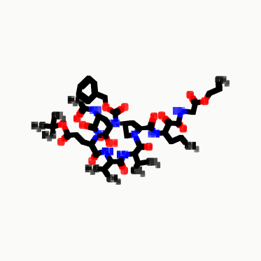 C=CCOC(=O)CNC(=O)C(=O)C(CCC)NC(=O)[C@@H]1C[C@@H](NC(=O)OCc2ccccc2)CN1C(=O)C(NC(=O)C(NC(=O)C(CCC(=O)OC(C)(C)C)NC(=O)C(CCC(=O)O)NC(C)=O)C(C)C)C(C)C